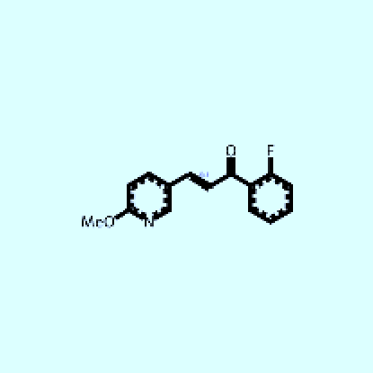 COc1ccc(/C=C/C(=O)c2ccccc2F)cn1